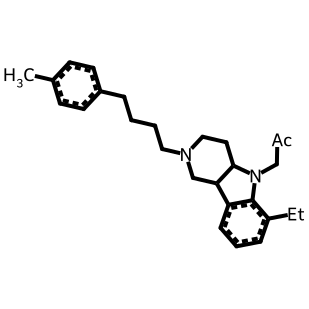 CCc1cccc2c1N(CC(C)=O)C1CCN(CCCCc3ccc(C)cc3)CC21